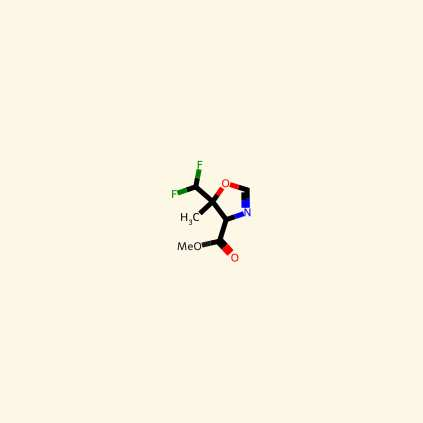 COC(=O)C1N=COC1(C)C(F)F